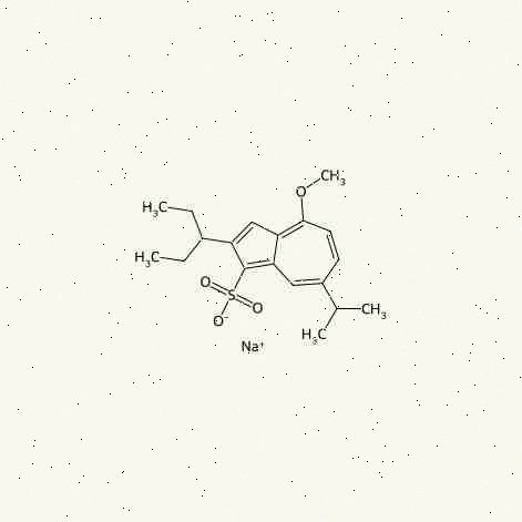 CCC(CC)c1cc2c(OC)ccc(C(C)C)cc-2c1S(=O)(=O)[O-].[Na+]